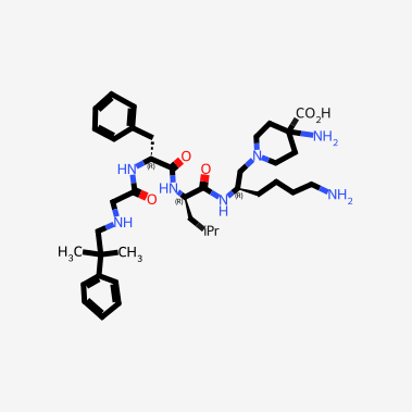 CC(C)C[C@@H](NC(=O)[C@@H](Cc1ccccc1)NC(=O)CNCC(C)(C)c1ccccc1)C(=O)N[C@H](CCCCN)CN1CCC(N)(C(=O)O)CC1